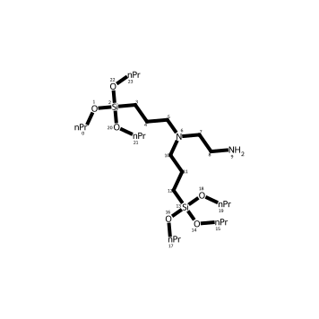 CCCO[Si](CCCN(CCN)CCC[Si](OCCC)(OCCC)OCCC)(OCCC)OCCC